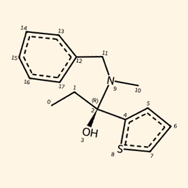 CC[C@@](O)(c1cccs1)N(C)Cc1ccccc1